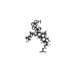 CC(C)CCC[C@@H](C)[C@H]1CCC2C3CC=C4C[C@@H](OC(=O)C(=O)CC(=O)O)C(CCN(C)CC[N+](C)(C)C)C[C@]4(C)C3CC[C@@]21C.[I-]